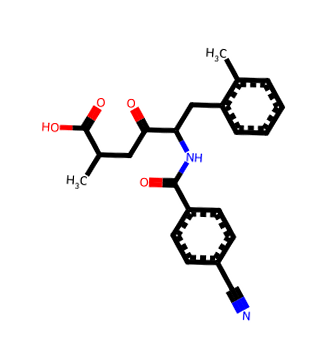 Cc1ccccc1CC(NC(=O)c1ccc(C#N)cc1)C(=O)CC(C)C(=O)O